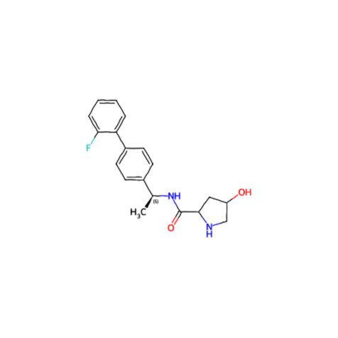 C[C@H](NC(=O)C1CC(O)CN1)c1ccc(-c2ccccc2F)cc1